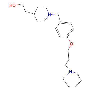 OCCC1CCN(Cc2ccc(OCCCN3CCCCC3)cc2)CC1